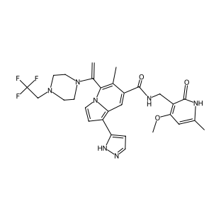 C=C(c1c(C)c(C(=O)NCc2c(OC)cc(C)[nH]c2=O)cc2c(-c3ccn[nH]3)ccn12)N1CCN(CC(F)(F)F)CC1